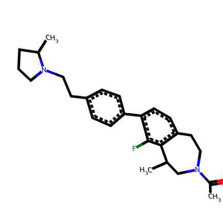 CC(=O)N1CCc2ccc(-c3ccc(CCN4CCCC4C)cc3)c(F)c2C(C)C1